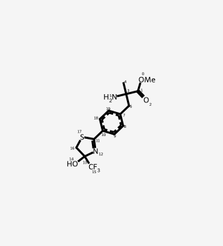 COC(=O)C(C)(N)Cc1ccc(C2=NC(O)(C(F)(F)F)CS2)cc1